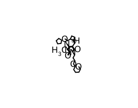 Cn1c2c(c(=O)n(CCCOC3CCCCO3)c1=O)C[C@H]1CCC1C(OC1CCCC1)=N2